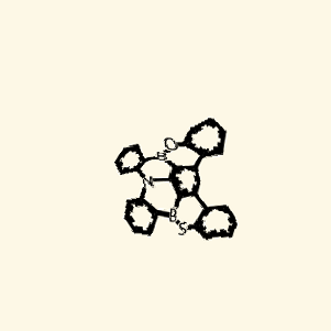 c1ccc2c(c1)OB1c3ccccc3N3c4ccccc4B4Sc5ccccc5-c5cc-2c1c3c54